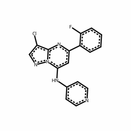 Fc1ccccc1-c1cc(Nc2ccncc2)n2ncc(Cl)c2n1